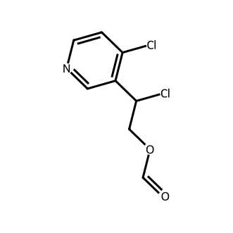 O=COCC(Cl)c1cnccc1Cl